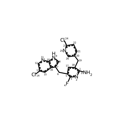 Nc1nc(F)c(Cc2c[nH]c3ncc(Cl)cc23)cc1Cc1ccc(Cl)nc1